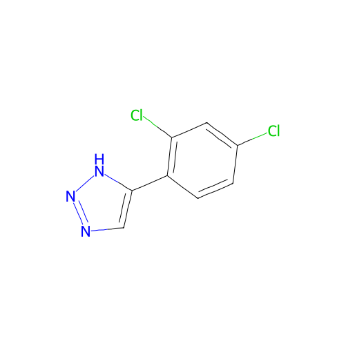 Clc1ccc(-c2cnn[nH]2)c(Cl)c1